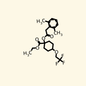 CCOC(=O)C1(OC(=O)Cc2c(C)cccc2C)CCC(OCC(F)(F)F)CC1